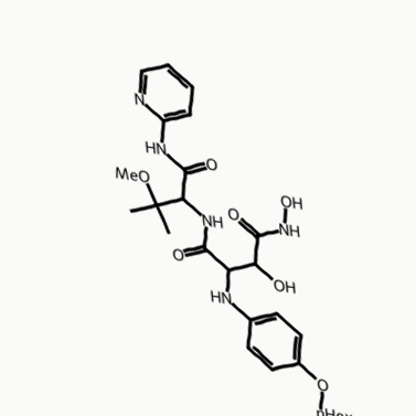 CCCCCCOc1ccc(NC(C(=O)NC(C(=O)Nc2ccccn2)C(C)(C)OC)C(O)C(=O)NO)cc1